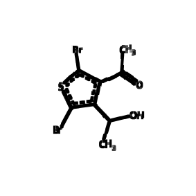 CC(=O)c1c(Br)sc(Br)c1C(C)O